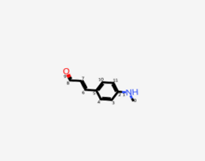 CNc1ccc(/C=C/C=O)cc1